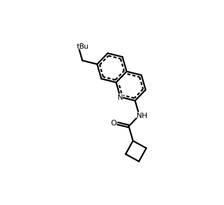 CC(C)(C)Cc1ccc2ccc(NC(=O)C3CCC3)nc2c1